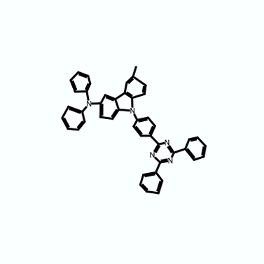 Cc1ccc2c(c1)c1cc(N(c3ccccc3)c3ccccc3)ccc1n2-c1ccc(-c2nc(-c3ccccc3)nc(-c3ccccc3)n2)cc1